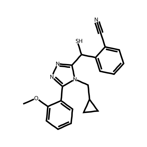 COc1ccccc1-c1nnc(C(S)c2ccccc2C#N)n1CC1CC1